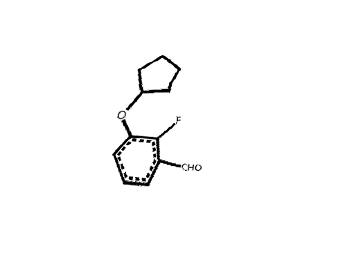 O=Cc1cccc(OC2CCCC2)c1F